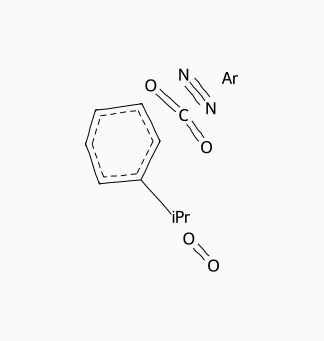 CC(C)c1ccccc1.N#N.O=C=O.O=O.[Ar]